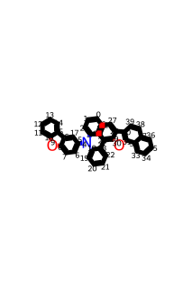 c1ccc(N(c2ccc3oc4ccccc4c3c2)c2ccccc2-c2cccc3c2oc2c4ccccc4ccc32)cc1